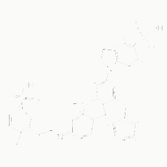 Cc1ccc(S(=O)(=O)O)cc1CC/N=C1/C=CC2C(=C1)[Si](C)(C)c1cc(N3CCc4cc(S(=O)(=O)O)ccc43)ccc1C2c1ccccc1C